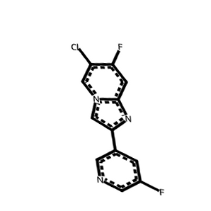 Fc1cncc(-c2cn3cc(Cl)c(F)cc3n2)c1